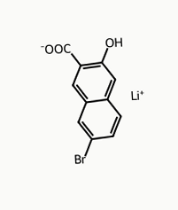 O=C([O-])c1cc2cc(Br)ccc2cc1O.[Li+]